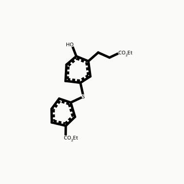 CCOC(=O)CCc1cc(Sc2cccc(C(=O)OCC)c2)ccc1O